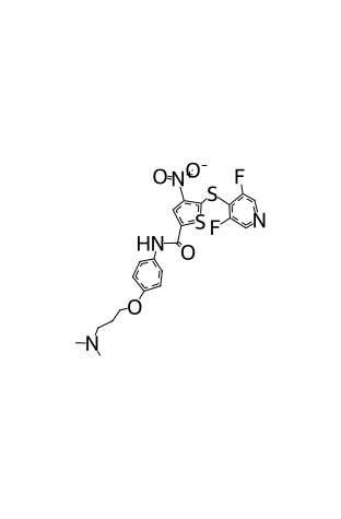 CN(C)CCCOc1ccc(NC(=O)c2cc([N+](=O)[O-])c(Sc3c(F)cncc3F)s2)cc1